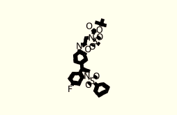 CC(C)(C)OC(=O)N(Cc1nc2ccc(-c3cn(S(=O)(=O)c4ccccc4)c4cc(F)ccc34)cc2o1)S(C)(=O)=O